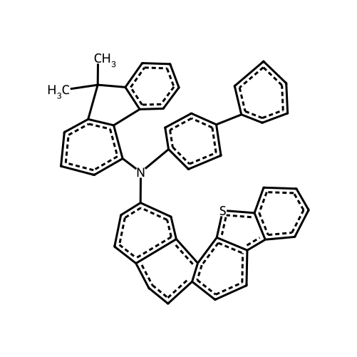 CC1(C)c2ccccc2-c2c(N(c3ccc(-c4ccccc4)cc3)c3ccc4ccc5ccc6c7ccccc7sc6c5c4c3)cccc21